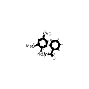 COc1cc(C=O)ccc1O.O=C(O)C(=O)c1ccccc1